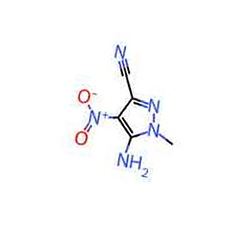 Cn1nc(C#N)c([N+](=O)[O-])c1N